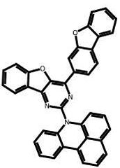 c1ccc2c(c1)-c1cccc3cccc(c13)N2c1nc(-c2ccc3c(c2)oc2ccccc23)c2oc3ccccc3c2n1